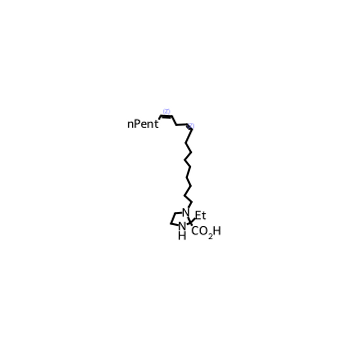 CCCCC/C=C\C/C=C\CCCCCCCCN1CCNC1(CC)C(=O)O